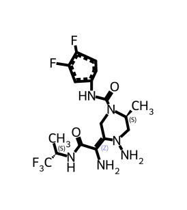 C[C@H](NC(=O)/C(N)=C1\CN(C(=O)Nc2ccc(F)c(F)c2)[C@@H](C)CN1N)C(F)(F)F